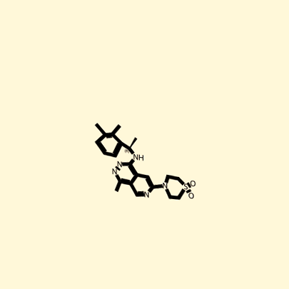 Cc1cccc([C@@H](C)Nc2nnc(C)c3cnc(N4CCS(=O)(=O)CC4)cc23)c1C